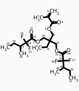 C=C(C)C(=O)OCC(CC)(COC(=O)C(F)(F)C(C)CC)COC(=O)C(F)(F)C(C)CC